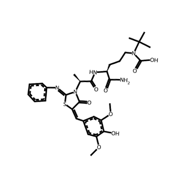 COc1cc(C=C2SC(=Nc3ccccc3)N([C@@H](C)C(=O)N[C@@H](CCCN(C(=O)O)C(C)(C)C)C(N)=O)C2=O)cc(OC)c1O